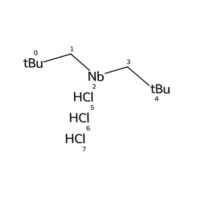 CC(C)(C)[CH2][Nb][CH2]C(C)(C)C.Cl.Cl.Cl